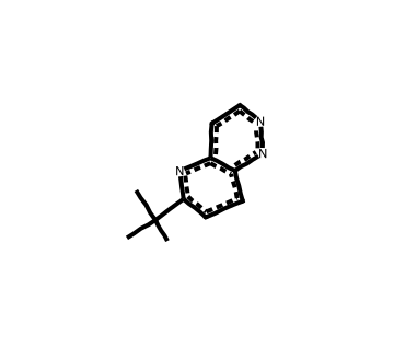 CC(C)(C)c1ccc2nnccc2n1